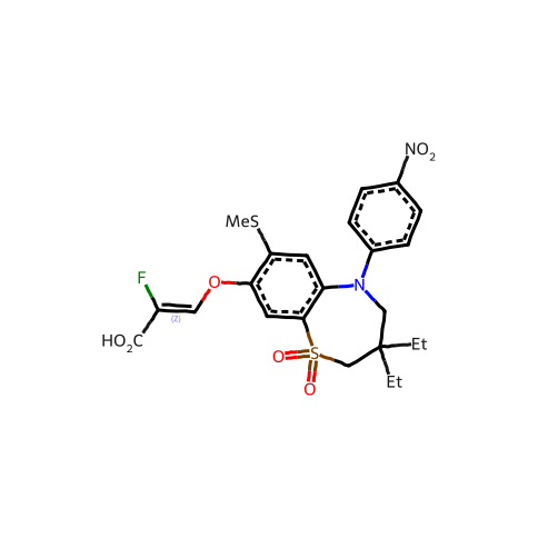 CCC1(CC)CN(c2ccc([N+](=O)[O-])cc2)c2cc(SC)c(O/C=C(\F)C(=O)O)cc2S(=O)(=O)C1